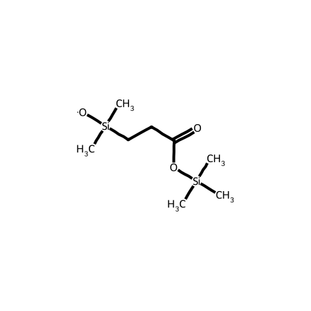 C[Si](C)([O])CCC(=O)O[Si](C)(C)C